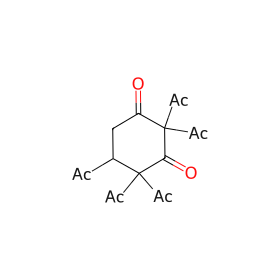 CC(=O)C1CC(=O)C(C(C)=O)(C(C)=O)C(=O)C1(C(C)=O)C(C)=O